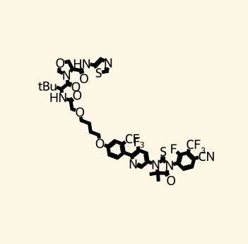 CC(C)(C)C(NC(=O)COCCCCOc1ccc(-c2ncc(N3C(=S)N(c4ccc(C#N)c(C(F)(F)F)c4F)C(=O)C3(C)C)cc2F)c(C(F)(F)F)c1)C(=O)N1COCC1C(=O)Nc1cncs1